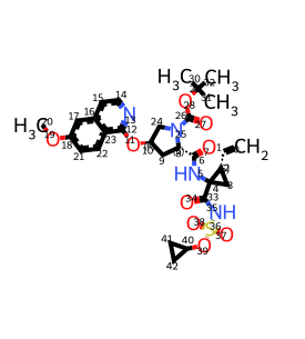 C=C[C@@H]1CC1(NC(=O)[C@@H]1C[C@@H](Oc2nccc3cc(OC)ccc23)CN1C(=O)OC(C)(C)C)C(=O)NS(=O)(=O)OC1CC1